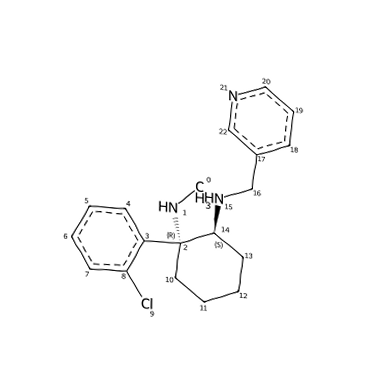 CN[C@@]1(c2ccccc2Cl)CCCC[C@@H]1NCc1cccnc1